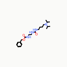 CC(C)N(CCCCNC(=O)NCCNC(=O)OCc1ccccc1)C(C)C